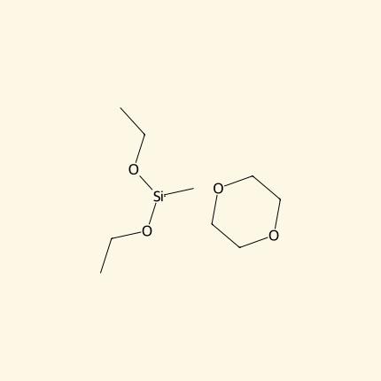 C1COCCO1.CCO[Si](C)OCC